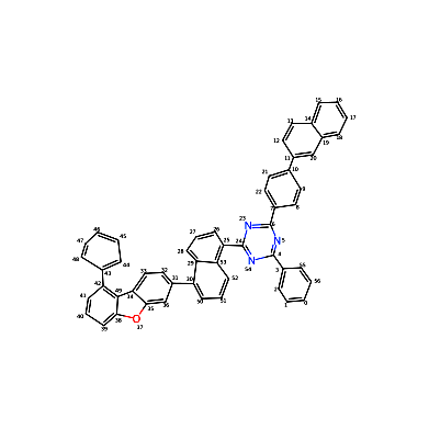 c1ccc(-c2nc(-c3ccc(-c4ccc5ccccc5c4)cc3)nc(-c3cccc4c(-c5ccc6c(c5)oc5cccc(-c7ccccc7)c56)cccc34)n2)cc1